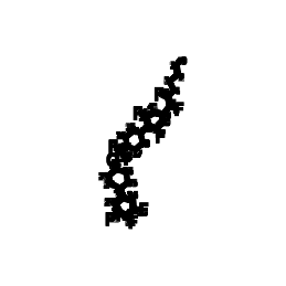 C/C=C/CC/C(F)=C(\F)c1cc(F)c(C2CCC(C(F)(F)OC3CCC(c4cc(F)c(F)c(F)c4)CC3)CC2)c(F)c1